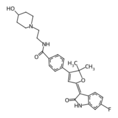 CC1(C)O/C(=C2/C(=O)Nc3cc(F)ccc32)C=C1c1ccc(C(=O)NCCN2CCC(O)CC2)cc1